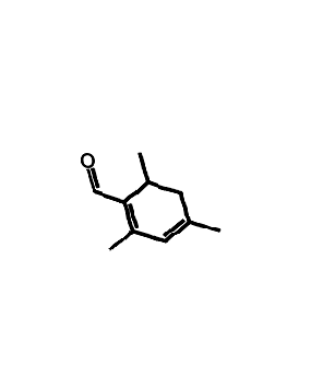 CC1=CC(C)=C(C=O)C(C)C1